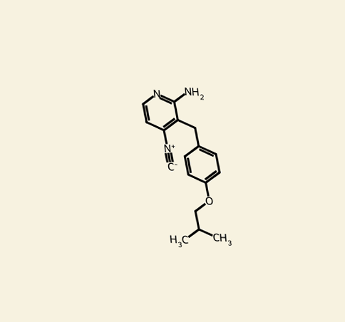 [C-]#[N+]c1ccnc(N)c1Cc1ccc(OCC(C)C)cc1